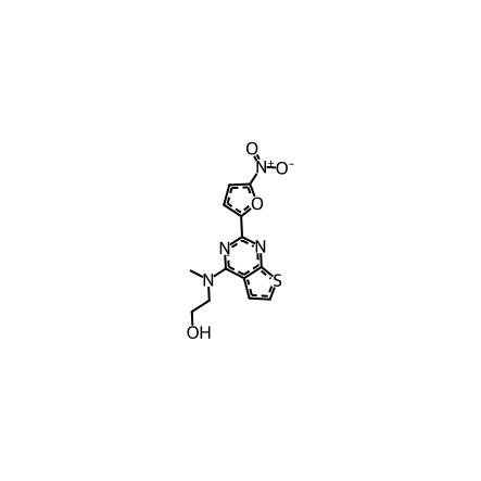 CN(CCO)c1nc(-c2ccc([N+](=O)[O-])o2)nc2sccc12